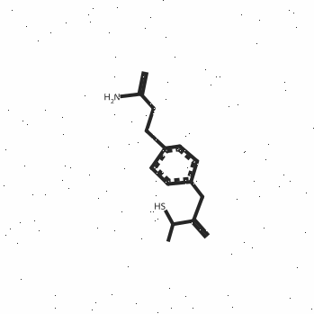 C=C(N)CCc1ccc(CC(=C)C(C)S)cc1